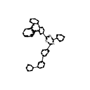 c1ccc(-c2cccc(-c3ccc(-c4nc(-c5ccccc5)nc(-c5ccc6c7ccccc7c7ccccc7c6c5)n4)cc3)c2)cc1